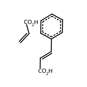 C=CC(=O)O.O=C(O)C=Cc1ccccc1